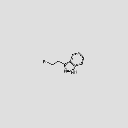 BrCCc1n[nH]c2ccccc12